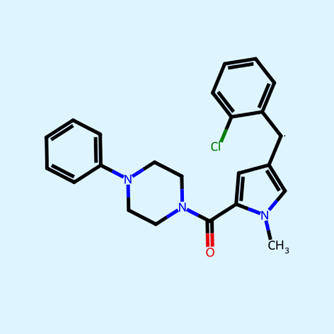 Cn1cc([CH]c2ccccc2Cl)cc1C(=O)N1CCN(c2ccccc2)CC1